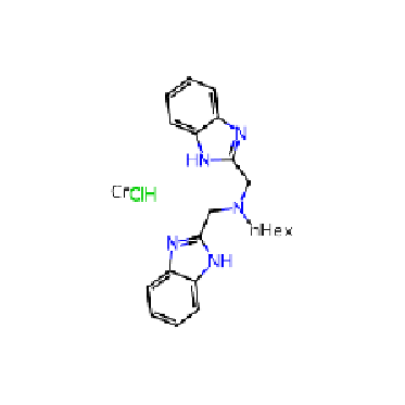 CCCCCCN(Cc1nc2ccccc2[nH]1)Cc1nc2ccccc2[nH]1.Cl.[Cr]